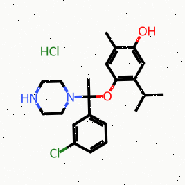 Cc1cc(OC(C)(c2cccc(Cl)c2)N2CCNCC2)c(C(C)C)cc1O.Cl